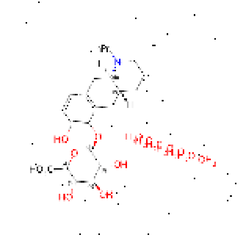 CCCN1CCC[C@@H]2Cc3c(ccc(O)c3O[C@@H]3O[C@H](C(=O)O)[C@@H](O)[C@H](O)[C@H]3O)C[C@H]21.O.O.O.O.O.O.O